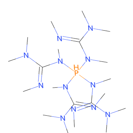 CN=C(N(C)C)N(C)[PH](N(C)C(=NC)N(C)C)(N(C)C(=NC)N(C)C)N(C)C(=NC)N(C)C